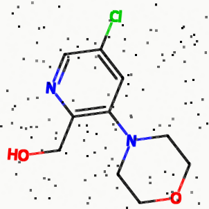 OCc1ncc(Cl)cc1N1CCOCC1